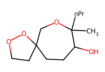 CCCC1(C)OCC2(CCOO2)CCC1O